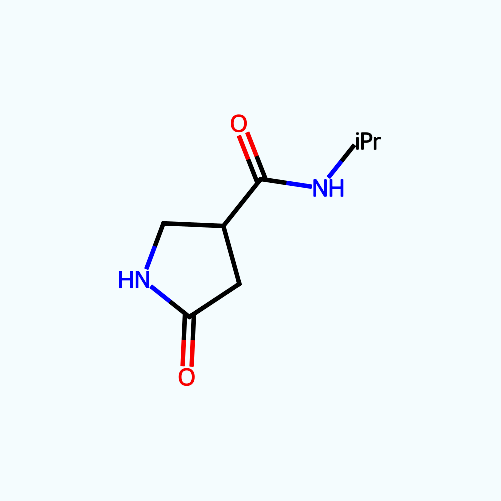 CC(C)NC(=O)C1CNC(=O)C1